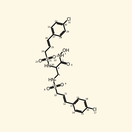 O=C(NO)C(CNS(=O)(=O)CC=Cc1ccc(Cl)cc1)NS(=O)(=O)CC=Cc1ccc(Cl)cc1